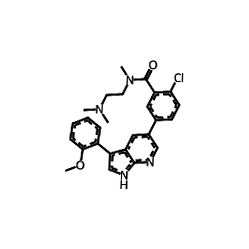 COc1ccccc1-c1c[nH]c2ncc(-c3ccc(Cl)c(C(=O)N(C)CCN(C)C)c3)cc12